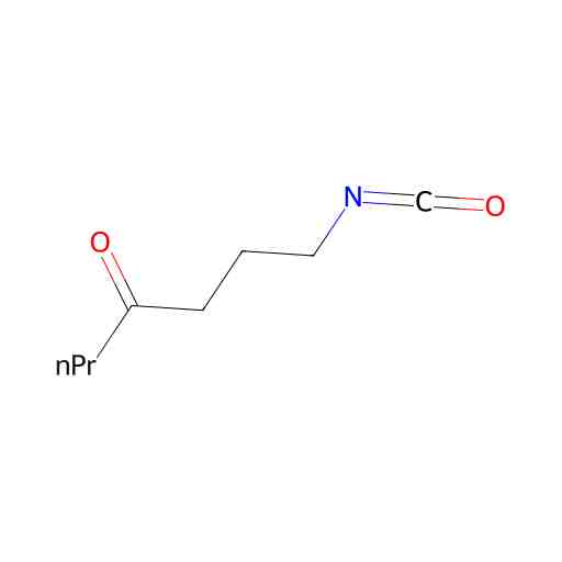 CCCC(=O)CCCN=C=O